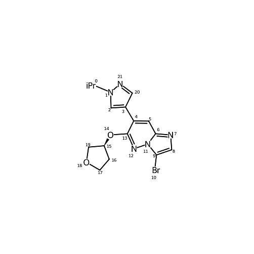 CC(C)n1cc(-c2cc3ncc(Br)n3nc2O[C@H]2CCOC2)cn1